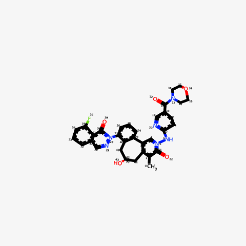 Cc1c2c(cn(Nc3ccc(C(=O)N4CCOCC4)cn3)c1=O)-c1cccc(-n3ncc4cccc(F)c4c3=O)c1C[C@H](O)C2